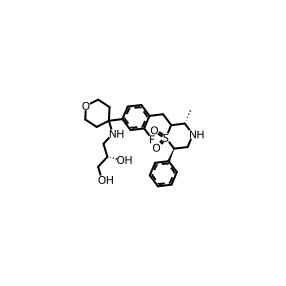 C[C@@H]1NC[C@@H](c2ccccc2)S(=O)(=O)C1Cc1ccc(C2(NC[C@H](O)CO)CCOCC2)cc1F